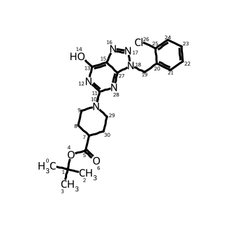 CC(C)(C)OC(=O)C1CCN(c2nc(O)c3nnn(Cc4ccccc4Cl)c3n2)CC1